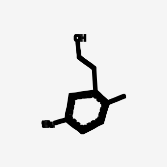 Cc1ccc(C(C)(C)C)cc1CCO